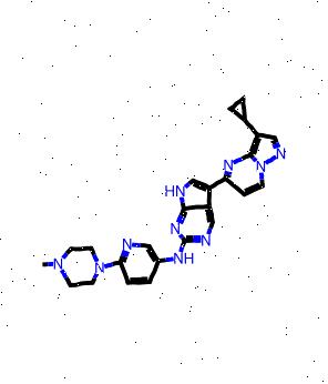 CN1CCN(c2ccc(Nc3ncc4c(-c5ccn6ncc(C7CC7)c6n5)c[nH]c4n3)cn2)CC1